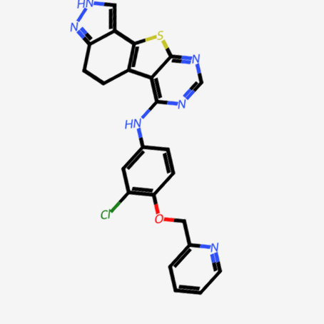 Clc1cc(Nc2ncnc3sc4c(c23)CCc2n[nH]cc2-4)ccc1OCc1ccccn1